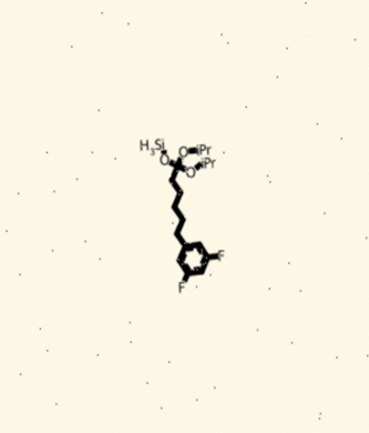 CC(C)OC(CCCCCc1cc(F)cc(F)c1)(O[SiH3])OC(C)C